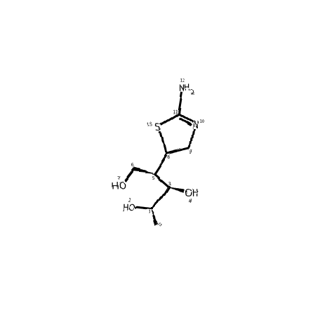 C[C@@H](O)[C@H](O)[C@@H](CO)C1CN=C(N)S1